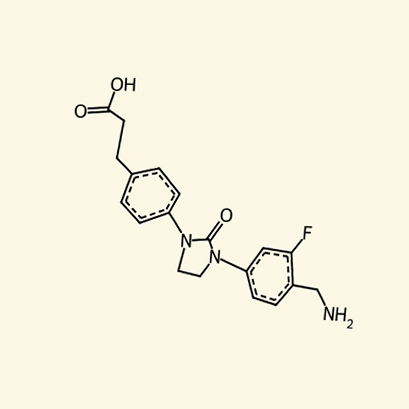 NCc1ccc(N2CCN(c3ccc(CCC(=O)O)cc3)C2=O)cc1F